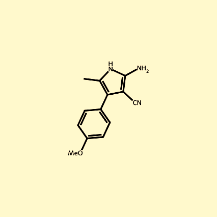 COc1ccc(-c2c(C)[nH]c(N)c2C#N)cc1